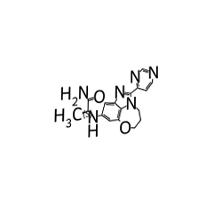 C[C@H](Nc1cc2c3c(c1)nc(-c1ccncn1)n3CCCO2)C(N)=O